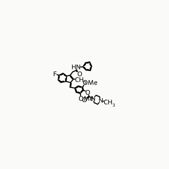 COc1cc(C=C2C(C)=C(CC(=O)Nc3ccccc3)c3cc(F)ccc32)cc(OC)c1OC(=O)N1CCN(C)CC1